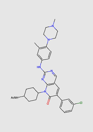 CC(=O)NC1CCC(n2c(=O)c(-c3cccc(Cl)c3)cc3cnc(Nc4ccc(N5CCN(C)CC5)c(C)c4)nc32)CC1